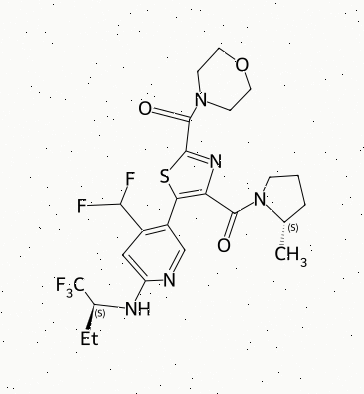 CC[C@H](Nc1cc(C(F)F)c(-c2sc(C(=O)N3CCOCC3)nc2C(=O)N2CCC[C@@H]2C)cn1)C(F)(F)F